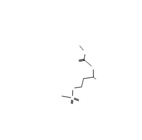 CC(C)(C)OC(=O)NC(CCOS(C)(=O)=O)C(=O)O